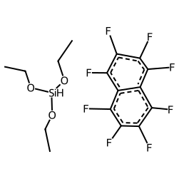 CCO[SiH](OCC)OCC.Fc1c(F)c(F)c2c(F)c(F)c(F)c(F)c2c1F